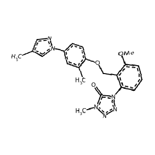 COc1cccc(-n2nnn(C)c2=O)c1COc1ccc(-n2cc(C)cn2)cc1C